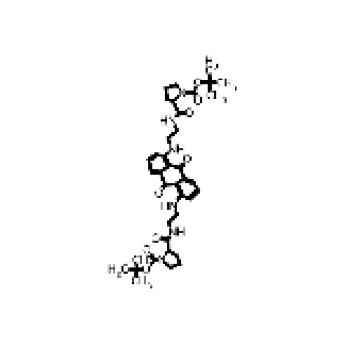 CC(C)(C)OC(=O)N1CCCC1C(=O)NCCNc1cccc2c1C(=O)c1cccc(NCCNC(=O)C3CCCN3C(=O)OC(C)(C)C)c1C2=O